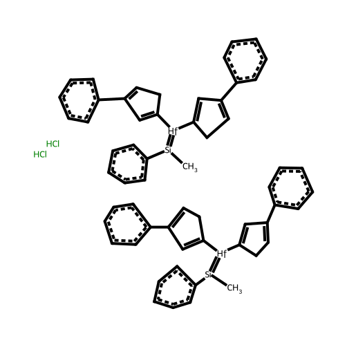 C[Si](c1ccccc1)=[Hf]([C]1=CC(c2ccccc2)=CC1)[C]1=CC(c2ccccc2)=CC1.C[Si](c1ccccc1)=[Hf]([C]1=CC(c2ccccc2)=CC1)[C]1=CC(c2ccccc2)=CC1.Cl.Cl